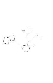 CC(CC(=O)O)C(=O)N1CCc2c(Cl)ccc(OCc3noc4ccccc34)c2[C@H]1CN1CCCC1=O